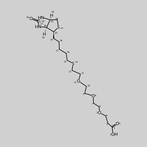 O=C(O)CCOCCOCCOCCSCCCCC[C@@H]1SC[C@@H]2NC(=O)N[C@@H]21